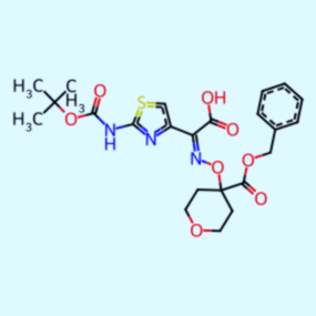 CC(C)(C)OC(=O)Nc1nc(/C(=N/OC2(C(=O)OCc3ccccc3)CCOCC2)C(=O)O)cs1